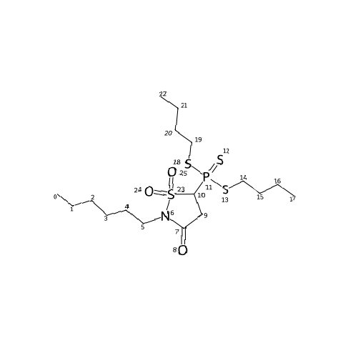 CCCCCCN1C(=O)CC(P(=S)(SCCCC)SCCCC)S1(=O)=O